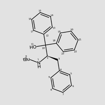 CC(C)(C)N[C@H](Cc1ccccc1)C(O)(c1ccccc1)c1ccccc1